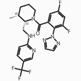 C[C@@H]1CCCN(C(=O)c2cc(F)cc(F)c2-n2nccn2)[C@@H]1CNc1ccc(C(F)(F)F)cn1